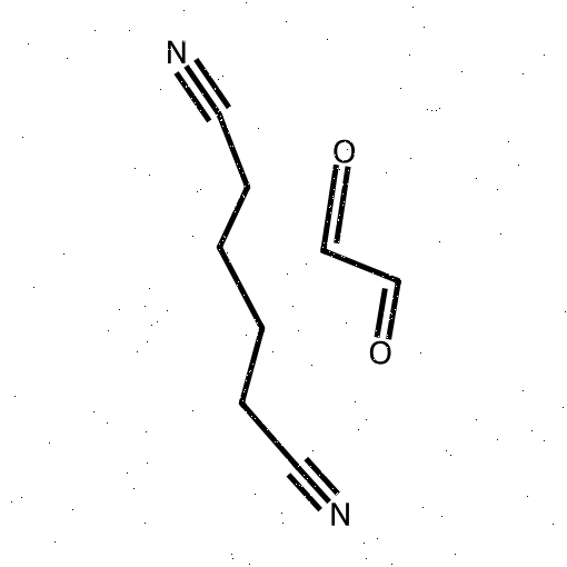 N#CCCCCC#N.O=CC=O